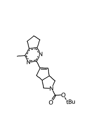 Cc1nc(C2=CC3CN(C(=O)OC(C)(C)C)CC3C2)nc2c1CCC2